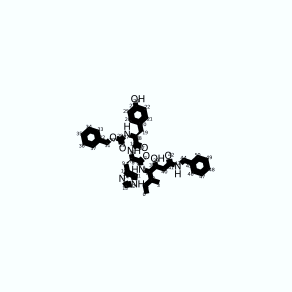 CCC(C)C(NC(=O)[C@H](Cc1c[nH]cn1)NC(=O)[C@H](Cc1ccc(O)cc1)NC(=O)OCc1ccccc1)C(O)CC(=O)NCc1ccccc1